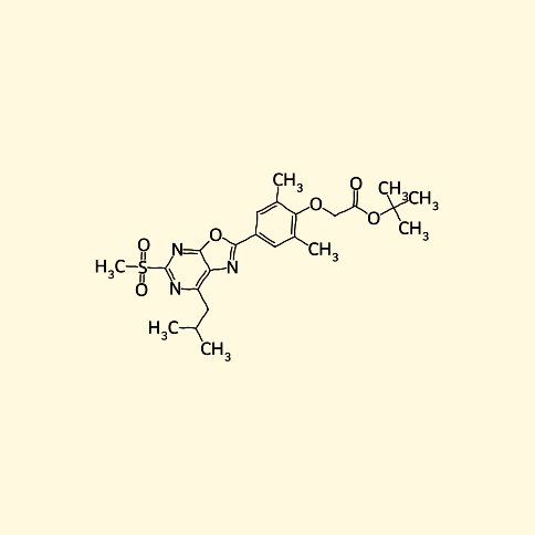 Cc1cc(-c2nc3c(CC(C)C)nc(S(C)(=O)=O)nc3o2)cc(C)c1OCC(=O)OC(C)(C)C